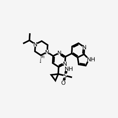 CC(C)N1CCN(c2cc(C3(S(C)(=N)=O)CC3)nc(-c3ccnc4[nH]ccc34)n2)[C@H](C)C1